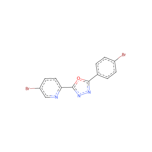 Brc1ccc(-c2nnc(-c3ccc(Br)cn3)o2)cc1